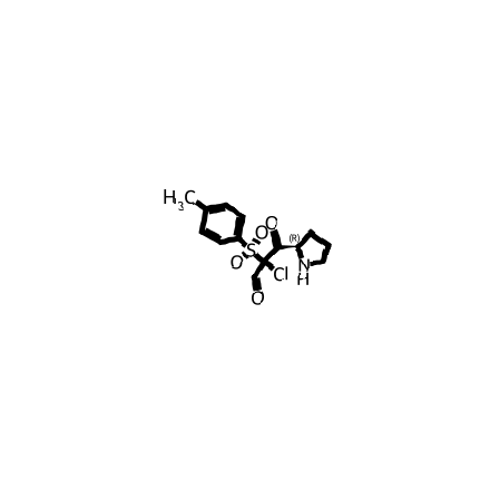 Cc1ccc(S(=O)(=O)C(Cl)(C=O)C(=O)[C@H]2CCCN2)cc1